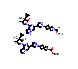 C[C@@H]1CN(c2nc(-c3cnn(C4CC5(C4)CN(C(=O)OC(C)(C)C)C5)c3)cn3nccc23)C(=O)[C@]1(C#N)C1CC1.C[C@@H]1CN(c2nc(-c3cnn(C4CC5(C4)CN(C(=O)OC(C)(C)C)C5)c3)cn3nccc23)C(=O)[C@]1(C#N)C1CC1